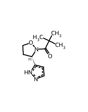 CC(C)(C)C(=O)N1OCC[C@H]1c1ccn[nH]1